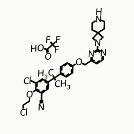 CC(C)(c1ccc(OCc2ccnc(N3CC4(CCNCC4)C3)n2)cc1)c1cc(Cl)c(OCCCl)c(C#N)c1.O=C(O)C(F)(F)F